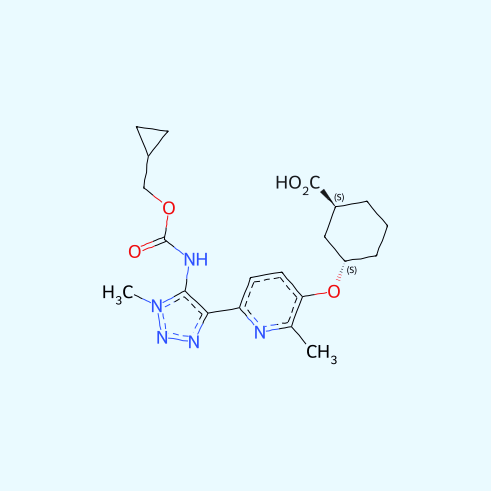 Cc1nc(-c2nnn(C)c2NC(=O)OCC2CC2)ccc1O[C@H]1CCC[C@H](C(=O)O)C1